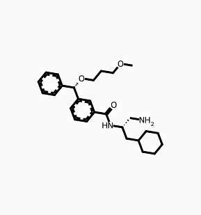 COCCCO[C@@H](c1ccccc1)c1cccc(C(=O)N[C@H](CN)CC2CCCCC2)c1